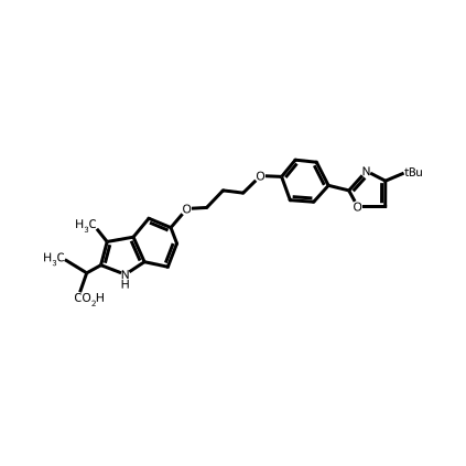 Cc1c(C(C)C(=O)O)[nH]c2ccc(OCCCOc3ccc(-c4nc(C(C)(C)C)co4)cc3)cc12